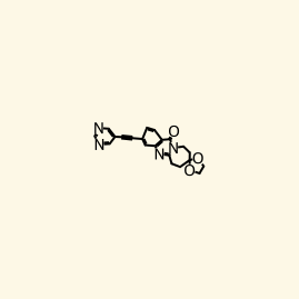 O=c1c2ccc(C#Cc3cncnc3)cc2nc2n1CCC1(CC2)OCCO1